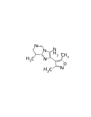 Cc1noc(C)c1-c1nc2n(c1N)C=NCC2C